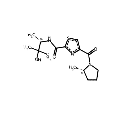 C[C@H](NC(=O)c1nc(C(=O)N2CCC[C@@H]2C)cs1)C(C)(C)O